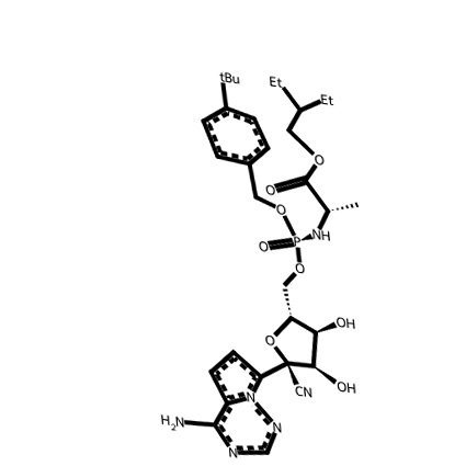 CCC(CC)COC(=O)[C@H](C)N[P@@](=O)(OCc1ccc(C(C)(C)C)cc1)OC[C@H]1O[C@@](C#N)(c2ccc3c(N)ncnn23)[C@H](O)[C@@H]1O